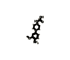 COc1cc(N2CCN(NC(=O)O)CC2)ccc1N